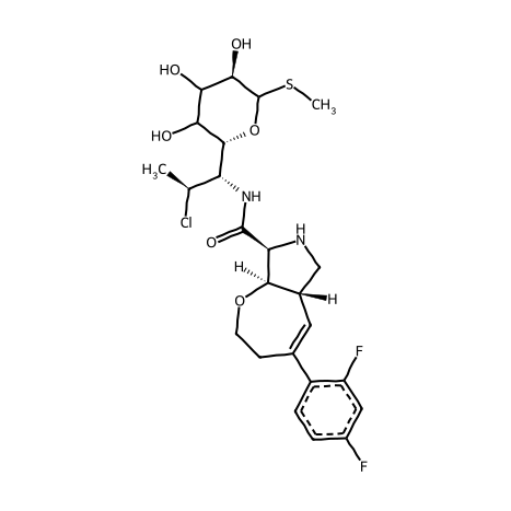 CSC1O[C@H]([C@H](NC(=O)[C@H]2NC[C@@H]3C=C(c4ccc(F)cc4F)CCO[C@@H]23)[C@H](C)Cl)C(O)C(O)[C@H]1O